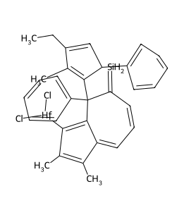 CCC1=CC(c2ccccc2)C(C2(c3ccccc3)C(=[SiH2])C=CC=C3C(C)=C(C)[C]([Hf]([Cl])[Cl])=C32)=C1C